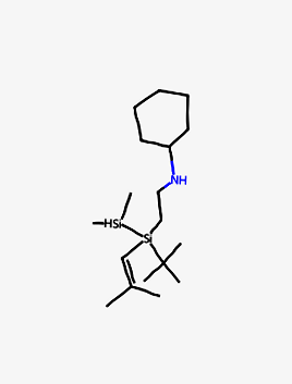 CC(C)=C[Si](CCNC1CCCCC1)([SiH](C)C)C(C)(C)C